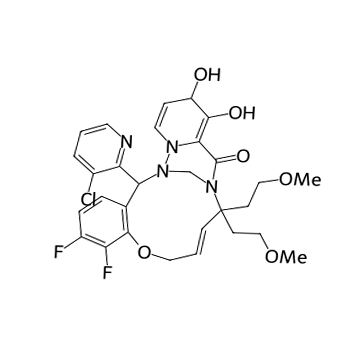 COCCC1(CCOC)/C=C/COc2c(ccc(F)c2F)C(c2ncccc2Cl)N2CN1C(=O)C1=C(O)C(O)C=CN12